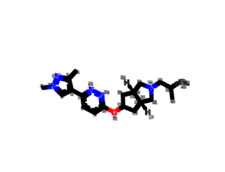 Cc1nn(C)cc1-c1ccc(OC2C[C@@H]3CN(CC(C)C(C)(C)C)C[C@@H]3C2)nn1